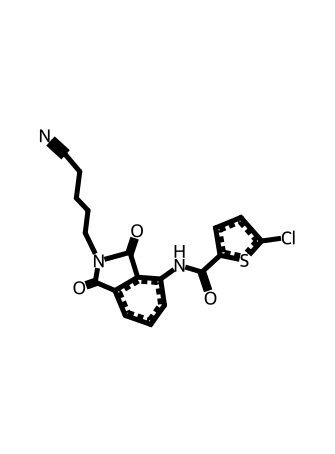 N#CCCCCN1C(=O)c2cccc(NC(=O)c3ccc(Cl)s3)c2C1=O